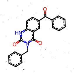 O=C(c1ccccc1)c1ccc2[nH]c(=O)n(Cc3ccccc3)c(=O)c2c1